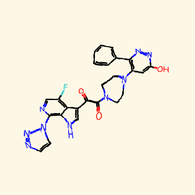 O=C(C(=O)N1CCN(c2cc(O)nnc2-c2ccccc2)CC1)c1c[nH]c2c(-n3ccnn3)ncc(F)c12